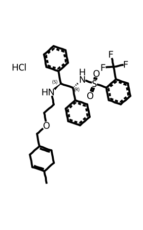 CC1=CCC(COCCN[C@@H](c2ccccc2)[C@H](NS(=O)(=O)c2ccccc2C(F)(F)F)c2ccccc2)=CC1.Cl